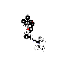 C=C(OC)/C(=C\C=C\COC(=O)c1cccc2nc(OCC)n(Cc3ccc(-c4ccccc4-c4noc(=O)n4C(c4ccccc4)(c4ccccc4)c4ccccc4)cc3)c12)OC(=O)C(C)(C)C